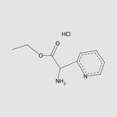 CCOC(=O)C(N)c1ccccn1.Cl